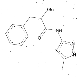 Cc1nnc(NC(=O)C(Cc2ccccc2)C(C)(C)C)s1